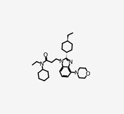 CCN(C(=O)CCn1c2cccc(N3CCOCC3)c2nc1[C@H]1CC[C@H](CC)CC1)C1CCCCC1